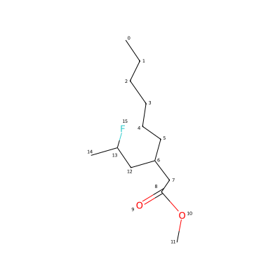 CCCCCCC(CC(=O)OC)CC(C)F